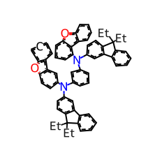 CCC1(CC)c2ccccc2-c2cc(N(c3cccc(N(c4ccc5c(c4)-c4ccccc4C5(CC)CC)c4cccc5oc6ccccc6c45)c3)c3ccc4oc5ccccc5c4c3)ccc21